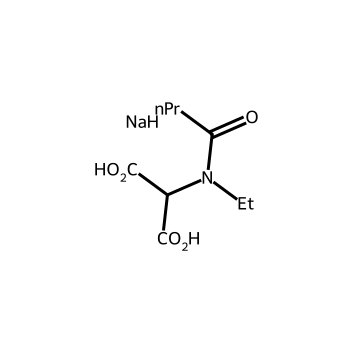 CCCC(=O)N(CC)C(C(=O)O)C(=O)O.[NaH]